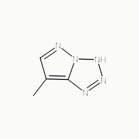 Cc1cnn2[nH]nnc12